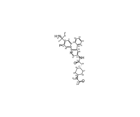 CCC(C)(N)c1ccc(-c2ncc(NC(=O)C[C@H]3CC[C@H](N(C)C(C)=O)CC3)cc2-c2ccccc2)cc1F